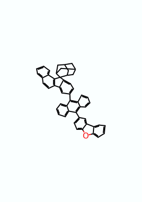 c1ccc2c3c(ccc2c1)-c1cc(-c2c4ccccc4c(-c4ccc5oc6ccccc6c5c4)c4ccccc24)ccc1C31C2CC3CC(C2)CC1C3